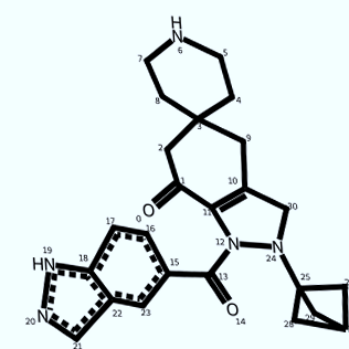 O=C1CC2(CCNCC2)CC2=C1N(C(=O)c1ccc3[nH]ncc3c1)N(C13CC(C1)C3)C2